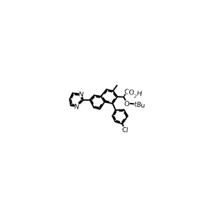 Cc1cc2cc(-c3ncccn3)ccc2c(-c2ccc(Cl)cc2)c1[C@H](OC(C)(C)C)C(=O)O